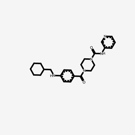 O=C(Nc1cccnc1)N1CCN(C(=O)c2ccc(NCC3CCCCC3)cc2)CC1